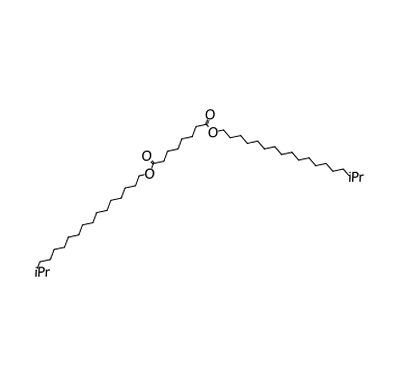 CC(C)CCCCCCCCCCCCCCCOC(=O)CCCCCCC(=O)OCCCCCCCCCCCCCCCC(C)C